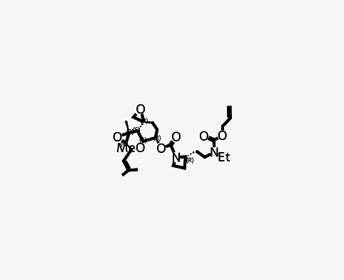 C=CCOC(=O)N(CC)CC[C@@H]1CCN1C(=O)O[C@@H]1CC[C@]2(CO2)[C@@H]([C@@]2(C)O[C@@H]2CC=C(C)C)[C@@H]1OC